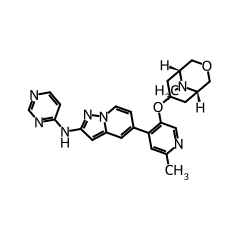 Cc1cc(-c2ccn3nc(Nc4ccncn4)cc3c2)c(OC2C[C@H]3COC[C@@H](C2)N3C)cn1